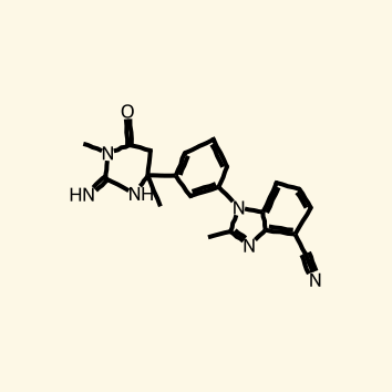 Cc1nc2c(C#N)cccc2n1-c1cccc(C2(C)CC(=O)N(C)C(=N)N2)c1